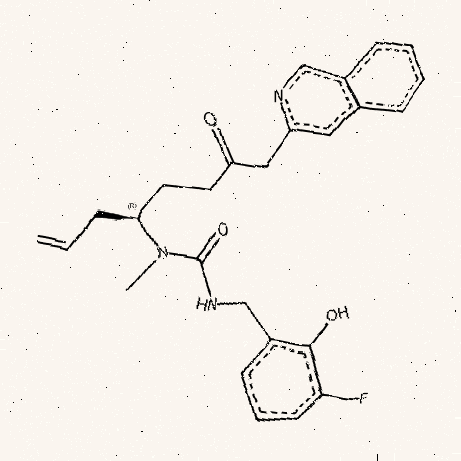 C=CC[C@@H](CCC(=O)Cc1cc2ccccc2cn1)N(C)C(=O)NCc1cccc(F)c1O